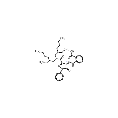 CCCCC(CC)CN(CC(CC)CCCC)C(=O)C1=NN(c2ccccc2)C(=O)/C1=N\Nc1ccccc1C(=O)O